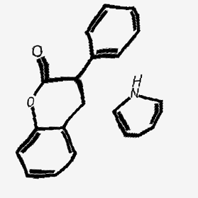 O=C1Oc2ccccc2CC1c1ccccc1.c1cc[nH]c1